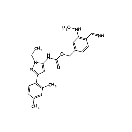 CCn1nc(-c2ccc(C)cc2C)cc1NC(=O)OCc1ccc(C=N)c(NC)c1